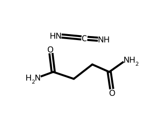 N=C=N.NC(=O)CCC(N)=O